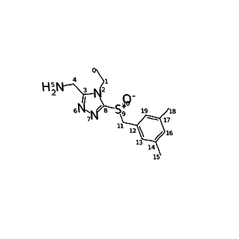 CCn1c(CN)nnc1[S+]([O-])Cc1cc(C)cc(C)c1